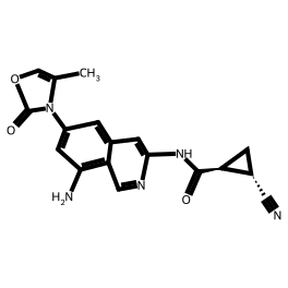 Cc1coc(=O)n1-c1cc(N)c2cnc(NC(=O)[C@H]3C[C@@H]3C#N)cc2c1